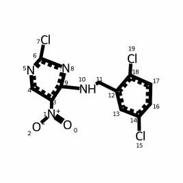 O=[N+]([O-])c1cnc(Cl)nc1NCc1cc(Cl)ccc1Cl